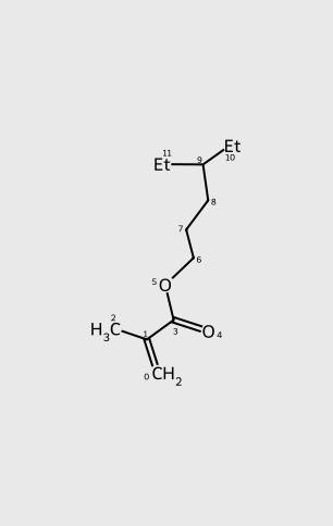 C=C(C)C(=O)OCCCC(CC)CC